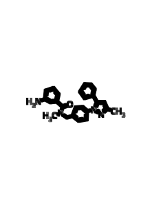 Cc1cc(-c2ccccc2)n(-c2ccc(CN(C)C(=O)c3cccc(N)c3)cc2)n1